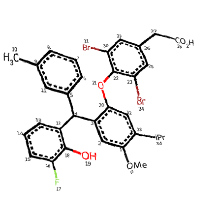 COc1cc(C(c2cccc(C)c2)c2cccc(F)c2O)c(Oc2c(Br)cc(CC(=O)O)cc2Br)cc1C(C)C